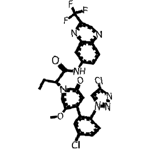 CCC(C(=O)Nc1ccc2ncc(C(F)(F)F)nc2c1)n1cc(OC)c(-c2cc(Cl)ccc2-n2cc(Cl)nn2)cc1=O